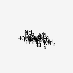 CSCC[C@H](NC(=O)[C@H](Cc1ccc(O)cc1)NC(=O)[C@@H]1CCCN1C(=O)[C@H](CCCCN)NC(=O)[C@@H](N)CO)C(=O)N[C@@H](CCCNC(=N)N)C(=O)N[C@@H](Cc1ccccc1)C(N)=O